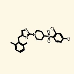 Cc1cccc(C)c1Cc1csc(N2CCC(S(=O)(=O)c3ccc(Cl)cc3Cl)CC2)n1